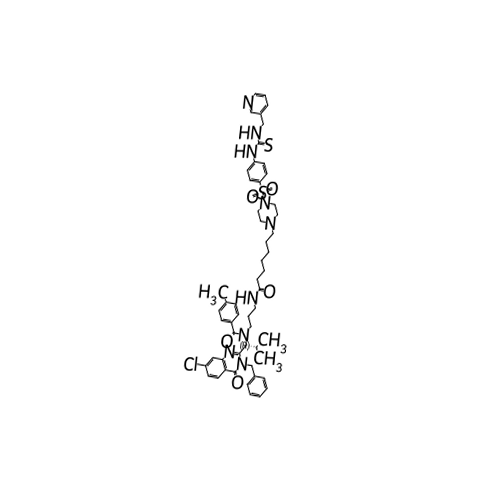 Cc1ccc(C(=O)N(CCCNC(=O)CCCCCCN2CCN(S(=O)(=O)c3ccc(NC(=S)NCc4cccnc4)cc3)CC2)[C@@H](c2nc3cc(Cl)ccc3c(=O)n2Cc2ccccc2)C(C)C)cc1